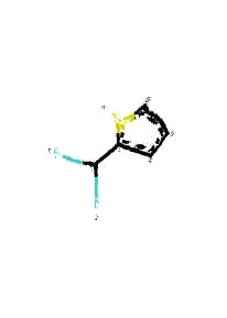 FC(F)c1cccs1